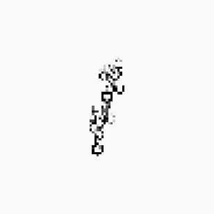 O=C1CCC(N2Cc3ccc(CNC(=O)NCC(=O)OCc4ccccc4)cc3C2=O)C(=O)N1